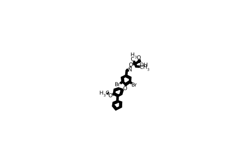 CCC(C)(O/N=C/c1cc(Br)c(Oc2ccc(OC)c(-c3ccccc3)c2)c(Br)c1)C(=O)O